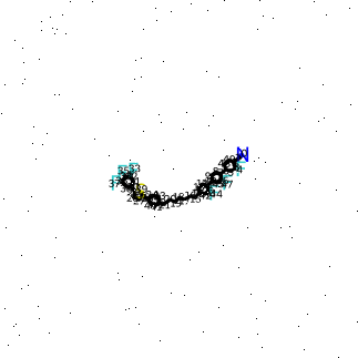 N#CC1=C(F)CC(c2ccc(-c3ccc(CCCCCCCc4ccc(-c5ccc(-c6cc(F)c(F)c(F)c6)s5)cc4)cc3F)cc2F)C=C1